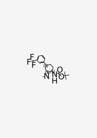 CN(C)[C@H]1C[C@@H](c2cccc(C(F)(F)F)c2)CC[C@@H]1NC(=O)OC(C)(C)C